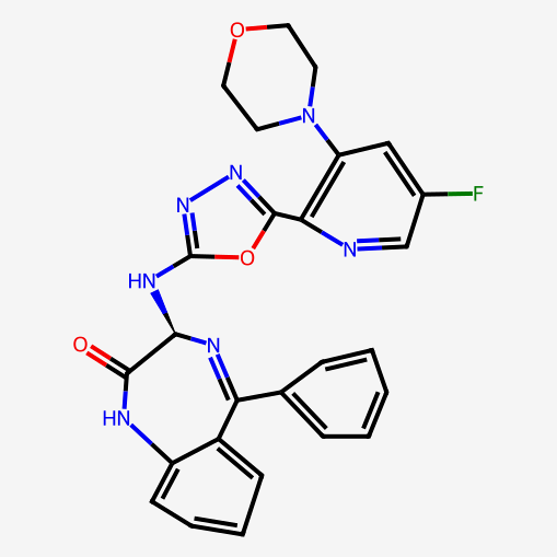 O=C1Nc2ccccc2C(c2ccccc2)=N[C@@H]1Nc1nnc(-c2ncc(F)cc2N2CCOCC2)o1